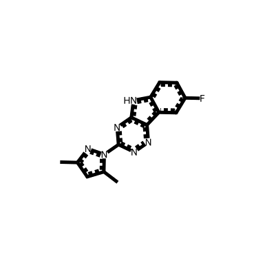 Cc1cc(C)n(-c2nnc3c(n2)[nH]c2ccc(F)cc23)n1